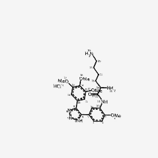 COc1ccc(-c2[nH]nnc2-c2cc(OC)c(OC)c(OC)c2)cc1NC(=O)C(N)CCCCN.Cl